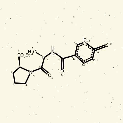 CCOC(=O)[C@@H]1CCCN1C(=O)[C@H](C)NC(=O)c1ccc(=S)[nH]c1